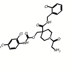 NCC(=O)N1CCC(COC(=O)Nc2ccc(C(F)(F)F)cc2Cl)(C(=O)NCc2ccccc2Cl)CC1